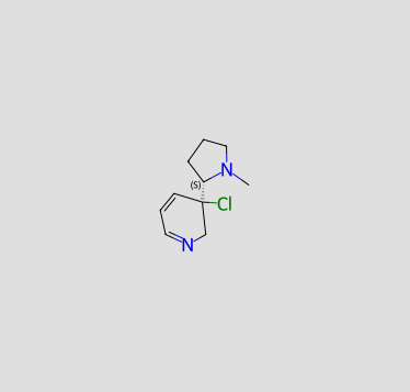 CN1CCC[C@H]1C1(Cl)C=CC=NC1